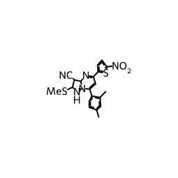 CSC1NN2C(c3ccc(C)cc3C)=CC(c3ccc([N+](=O)[O-])s3)=NC2C1C#N